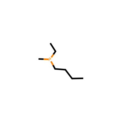 CCCCP(C)CC